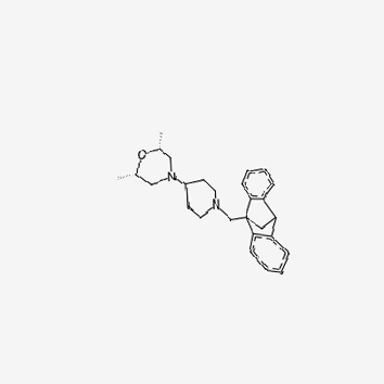 C[C@@H]1CN(C2CCN(CC34CC(c5ccccc53)c3ccccc34)CC2)C[C@H](C)O1